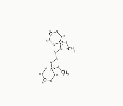 CC[N+]1(CCCC[N+]2(CC)CCOCC2)CCOCC1